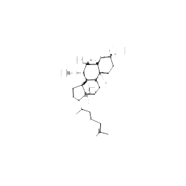 CC(C)CCCC(C)[C@H]1CCC2=C3[C@@H](O)[C@@H]4OC45C[C@@H](O)CC[C@]5(C)[C@H]3CC[C@@]21C